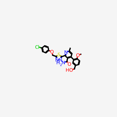 COc1ccc(CO)cc1-c1cc(C)nc(-c2nnc(COc3ccc(Cl)cc3)s2)c1C(N)=O